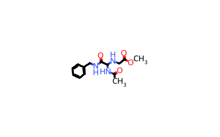 COC(=O)CNC(NC(C)=O)C(=O)NCc1ccccc1